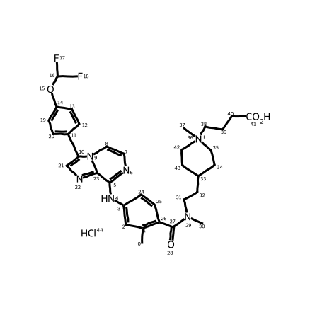 Cc1cc(Nc2nccn3c(-c4ccc(OC(F)F)cc4)cnc23)ccc1C(=O)N(C)CCC1CC[N+](C)(CCCC(=O)O)CC1.Cl